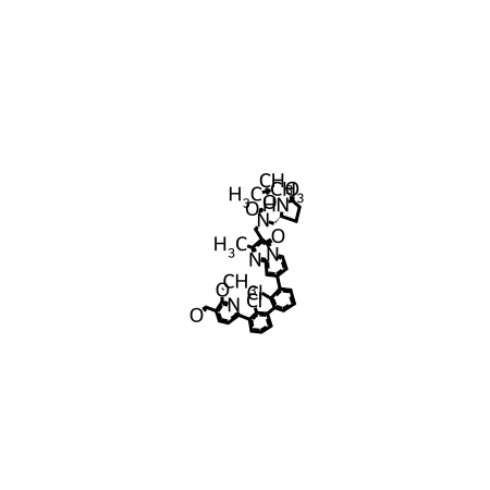 COc1nc(-c2cccc(-c3cccc(-c4ccn5c(=O)c(CN(C[C@H]6CCC(=O)N6)C(=O)OC(C)(C)C)c(C)nc5c4)c3Cl)c2Cl)ccc1C=O